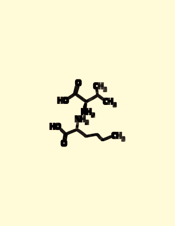 CC(C)[C@@H](N)C(=O)O.CCCCC(N)C(=O)O